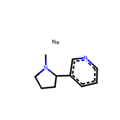 CN1CCCC1c1cccnc1.[Na]